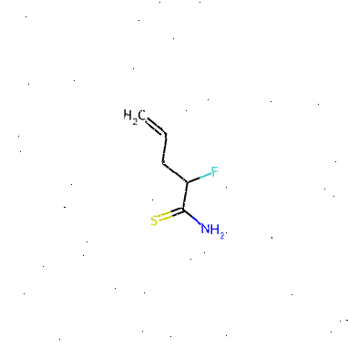 C=CCC(F)C(N)=S